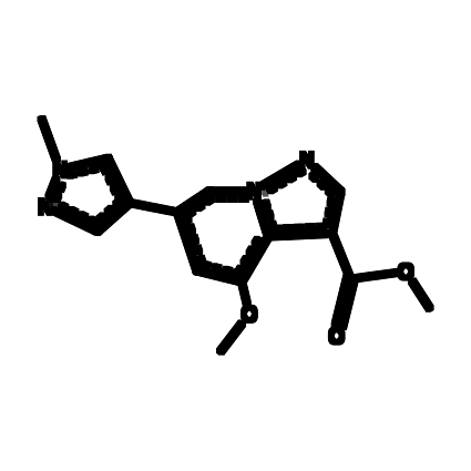 COC(=O)c1cnn2cc(-c3cnn(C)c3)cc(OC)c12